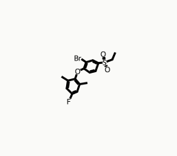 CCS(=O)(=O)c1ccc(Oc2c(C)cc(F)cc2C)c(Br)c1